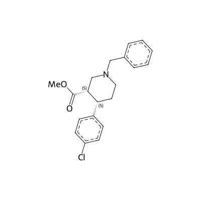 COC(=O)[C@@H]1CN(Cc2ccccc2)CC[C@@H]1c1ccc(Cl)cc1